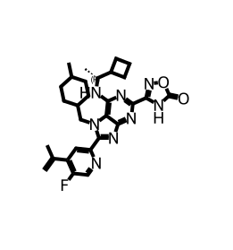 C=C(C)c1cc(-c2nc3nc(-c4noc(=O)[nH]4)nc(N[C@H](C)C4CCC4)c3n2CC2CCC(C)CC2)ncc1F